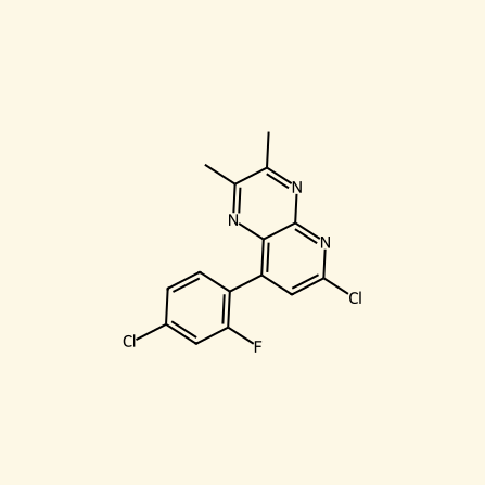 Cc1nc2nc(Cl)cc(-c3ccc(Cl)cc3F)c2nc1C